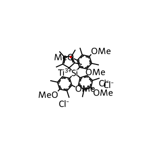 COc1c(C)cc([Si](c2cc(C)c(OC)c(C)c2OC)(c2cc(C)c(OC)c(C)c2OC)[C]2([Ti+3])C(C)=C(C)C(C)=C2C)c(OC)c1C.[Cl-].[Cl-].[Cl-]